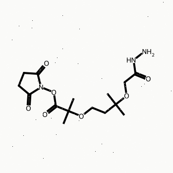 CC(C)(CCOC(C)(C)C(=O)ON1C(=O)CCC1=O)OCC(=O)NN